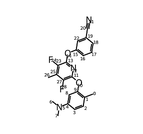 Cc1ccc(N(C)C)cc1Oc1nc(Oc2cccc(C#N)c2)c(F)c(C)c1F